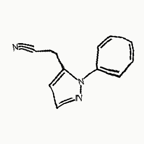 N#CCc1ccnn1-c1ccccc1